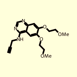 C#CCNc1ncnc2cc(OCCOC)c(OCCOC)cc12